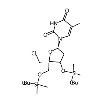 Cc1cn([C@H]2CC(O[Si](C)(C)C(C)(C)C)[C@@](CCl)(CO[Si](C)(C)C(C)(C)C)O2)c(=O)[nH]c1=O